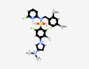 COc1ccc(CN(c2cccc(F)n2)S(=O)(=O)c2c(F)cc(N3CC[C@@H](N(C)C)C3)c(Cl)c2F)c(OC)c1